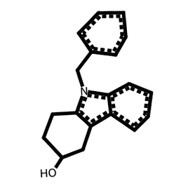 OC1CCc2c(c3ccccc3n2Cc2ccccc2)C1